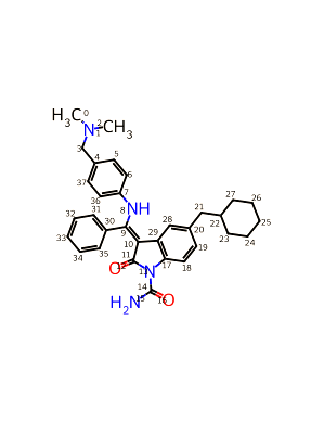 CN(C)Cc1ccc(NC(=C2C(=O)N(C(N)=O)c3ccc(CC4CCCCC4)cc32)c2ccccc2)cc1